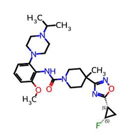 COc1cccc(N2CCN(C(C)C)CC2)c1NC(=O)N1CCC(C)(c2noc([C@@H]3C[C@@H]3F)n2)CC1